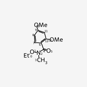 CCON(C)C(=O)c1ccc(OC)cc1OC